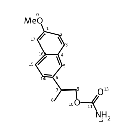 COc1ccc2cc(C(C)COC(N)=O)ccc2c1